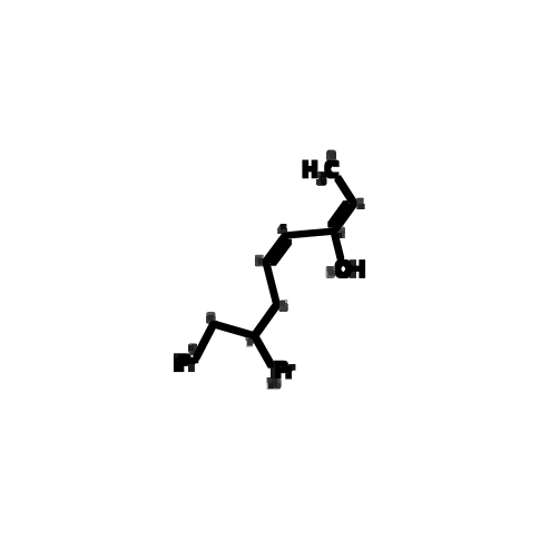 C/C=C(O)\C=C/CC(CC(C)C)C(C)C